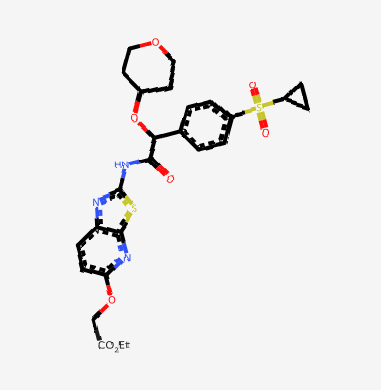 CCOC(=O)COc1ccc2nc(NC(=O)C(OC3CCOCC3)c3ccc(S(=O)(=O)C4CC4)cc3)sc2n1